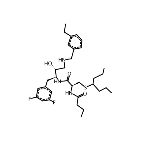 CCCC(=O)N[C@H](CSC(CCC)CCC)C(=O)N[C@@H](Cc1cc(F)cc(F)c1)[C@H](O)CNCc1cccc(CC)c1